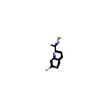 C/C(=N\S)c1ccc2ccc(Br)cc2n1